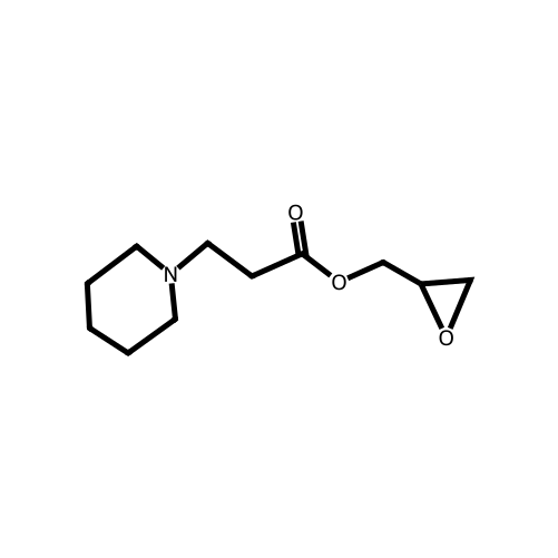 O=C(CCN1CCCCC1)OCC1CO1